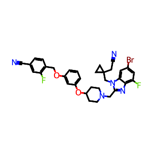 N#CCC1(Cn2c(CN3CCC(Oc4cccc(OCc5ccc(C#N)cc5F)c4)CC3)nc3c(F)cc(Br)cc32)CC1